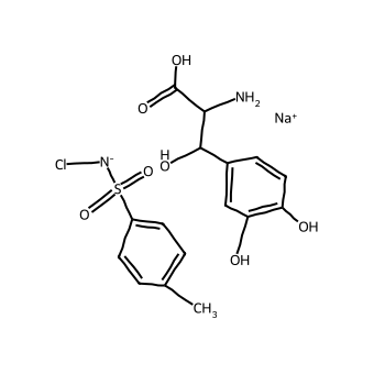 Cc1ccc(S(=O)(=O)[N-]Cl)cc1.NC(C(=O)O)C(O)c1ccc(O)c(O)c1.[Na+]